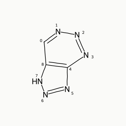 c1nnnc2nn[nH]c12